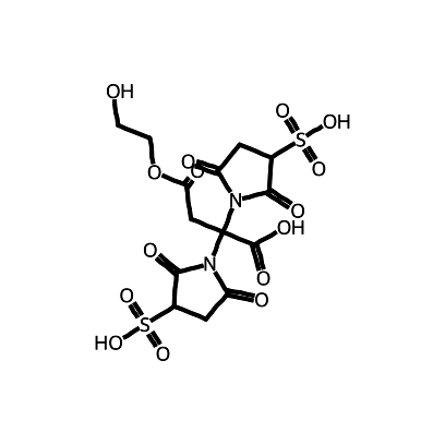 O=C(CC(C(=O)O)(N1C(=O)CC(S(=O)(=O)O)C1=O)N1C(=O)CC(S(=O)(=O)O)C1=O)OCCO